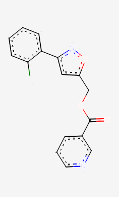 O=C(OCc1cc(-c2ccccc2Cl)no1)c1cccnc1